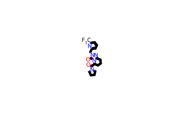 O=C(C1CCCc2nn(Cc3cccc(C(F)(F)F)n3)c(=O)n21)N1CCCC1